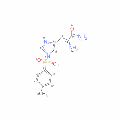 Cc1ccc(S(=O)(=O)n2cnc(C[C@H](N)C(N)=O)c2)cc1